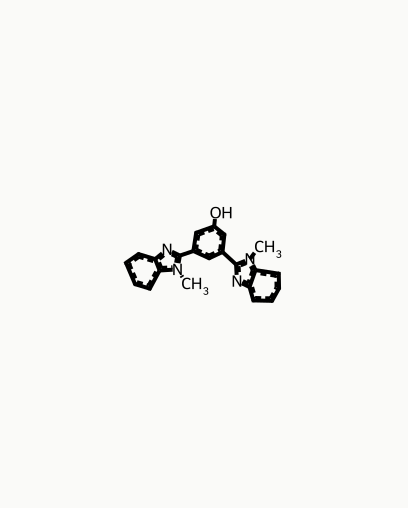 Cn1c(-c2cc(O)cc(-c3nc4ccccc4n3C)c2)nc2ccccc21